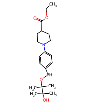 CCOC(=O)C1CCN(c2ccc(BOC(C)(C)C(C)(C)O)cc2)CC1